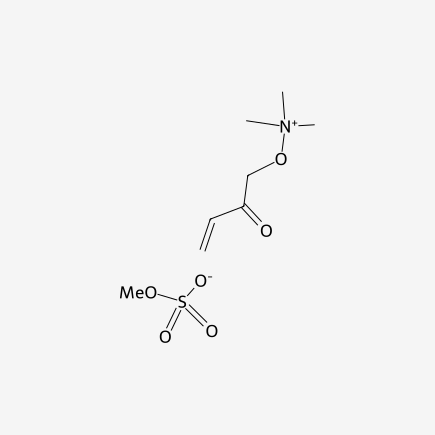 C=CC(=O)CO[N+](C)(C)C.COS(=O)(=O)[O-]